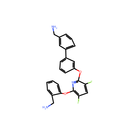 NCc1cccc(-c2cccc(Oc3nc(Oc4ccccc4CN)c(F)cc3F)c2)c1